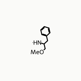 COCC([NH])Cc1ccccc1